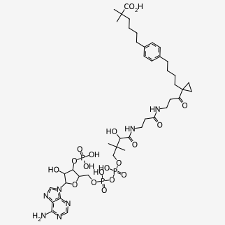 CC(C)(CCCCc1ccc(CCCCC2(C(=O)CCNC(=O)CCNC(=O)C(O)C(C)(C)COP(=O)(O)OP(=O)(O)OCC3OC(n4cnc5c(N)ncnc54)C(O)C3OP(=O)(O)O)CC2)cc1)C(=O)O